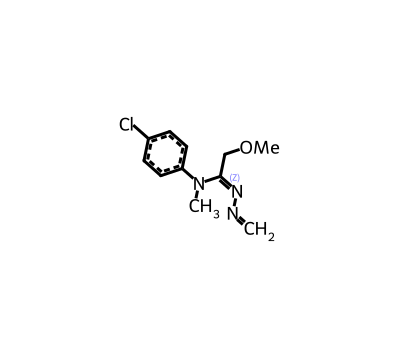 C=N/N=C(/COC)N(C)c1ccc(Cl)cc1